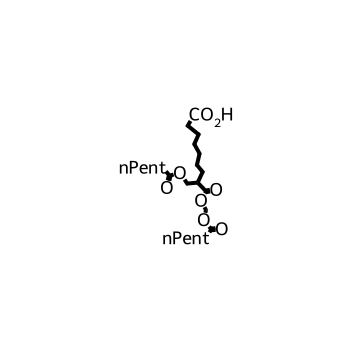 CCCCCC(=O)OCOC(=O)C(CCCCCCC(=O)O)COC(=O)CCCCC